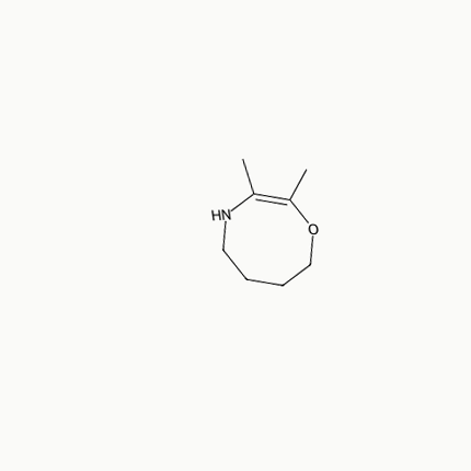 C/C1=C(\C)OCCCCN1